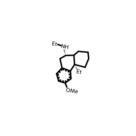 CCN[C@H]1Cc2ccc(OC)cc2[C@]2(CC)CCCCC12